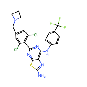 Nc1nc2c(Nc3ccc(C(F)(F)F)cc3)nc(-c3c(Cl)cc(CN4CCC4)cc3Cl)nc2s1